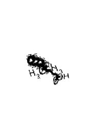 CC(C)(CCCCC(=O)O)c1ccc2cc3ccccc3cc2c1